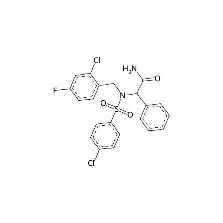 NC(=O)C(c1ccccc1)N(Cc1ccc(F)cc1Cl)S(=O)(=O)c1ccc(Cl)cc1